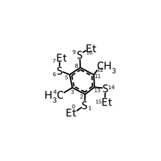 CCSc1c(C)c(SCC)c(SCC)c(C)c1SCC